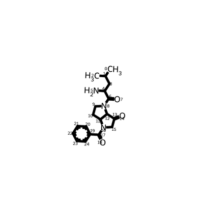 CC(C)CC(N)C(=O)N1CCC2C1C(=O)CN2C(=O)c1ccccc1